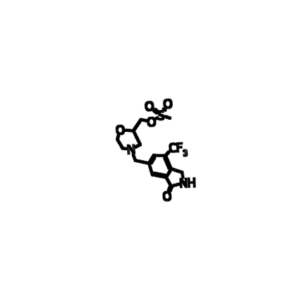 CS(=O)(=O)OCC1CN(Cc2cc3c(c(C(F)(F)F)c2)CNC3=O)CCO1